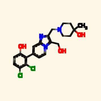 CC1(O)CCN(Cc2nc3cc(-c4c(O)ccc(Cl)c4Cl)ccn3c2CO)CC1